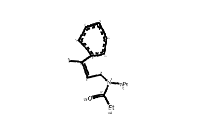 CCCN(C/C=C(/C)c1ccccc1)C(=O)CC